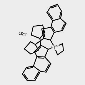 C1=C(C2CCCC2)[CH]([Hf+2]2([CH]3C(C4CCCC4)=Cc4c3ccc3ccccc43)[CH2]C[CH2]2)c2ccc3ccccc3c21.[Cl-].[Cl-]